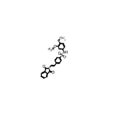 COc1ccc(NS(=O)(=O)c2ccc(C=CN3C(=O)c4ccccc4C3=O)cc2)cc1OC